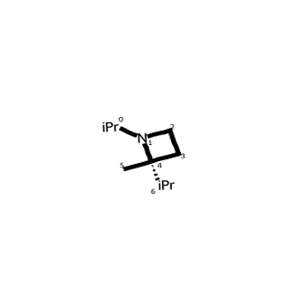 CC(C)N1CC[C@]1(C)C(C)C